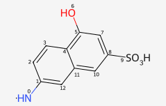 [NH]c1ccc2c(O)cc(S(=O)(=O)O)cc2c1